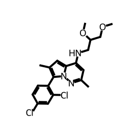 COCC(CNc1cc(C)nn2c(-c3ccc(Cl)cc3Cl)c(C)cc12)OC